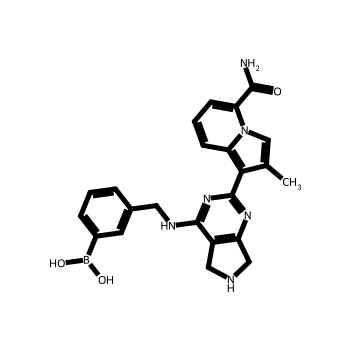 Cc1cn2c(C(N)=O)cccc2c1-c1nc2c(c(NCc3cccc(B(O)O)c3)n1)CNC2